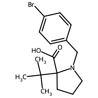 CC(C)(C)C1(C(=O)O)CCCN1Cc1ccc(Br)cc1